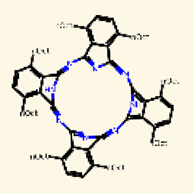 CCCCCCCCc1ccc(CCCCCCCC)c2c1-c1nc-2nc2[nH]c(nc3nc(nc4[nH]c(n1)c1c(CCCCCCCC)ccc(CCCCCCCC)c41)-c1c(CCCCCCCC)ccc(CCCCCCCC)c1-3)c1c(CCCCCCCC)ccc(CCCCCCCC)c21